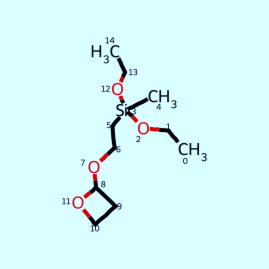 CCO[Si](C)(CCOC1CCO1)OCC